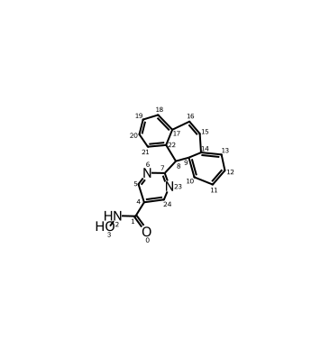 O=C(NO)c1cnc(C2c3ccccc3C=Cc3ccccc32)nc1